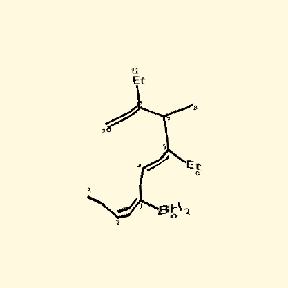 BC(=C/C)/C=C(\CC)C(C)C(=C)CC